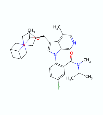 CC(=O)N1CC2CC(C1)C2N1CC[C@@H](Cc2cn(-c3ccc(F)cc3C(=O)N(C)C(C)C)c3cncc(C)c23)C1